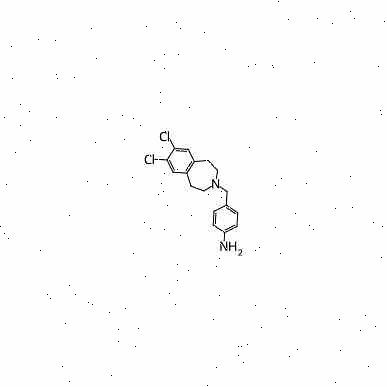 Nc1ccc(CN2CCc3cc(Cl)c(Cl)cc3CC2)cc1